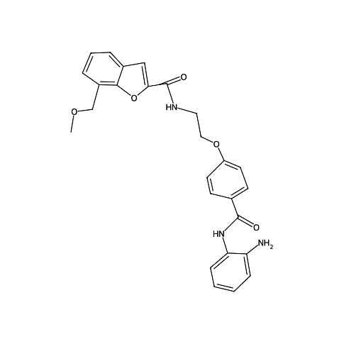 COCc1cccc2cc(C(=O)NCCOc3ccc(C(=O)Nc4ccccc4N)cc3)oc12